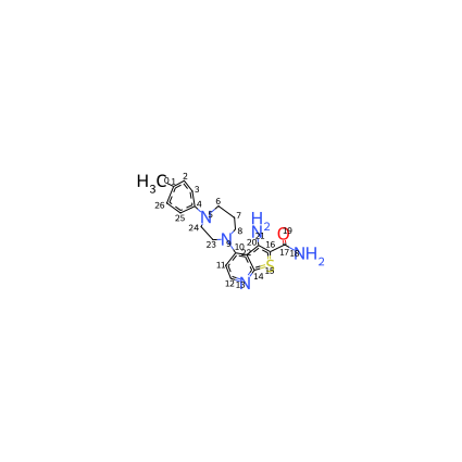 Cc1ccc(N2CCCN(c3ccnc4sc(C(N)=O)c(N)c34)CC2)cc1